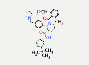 COC[C@@H]1CCCN1Cc1ccc([C@H]2[C@@H](C(=O)Nc3cccc(C(C)(C)C)c3)CCCN2C(=O)c2c(C)cccc2F)cc1